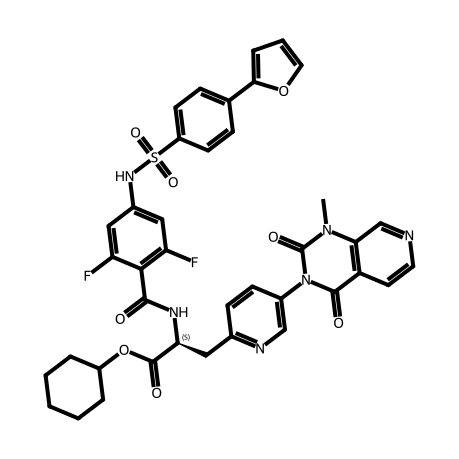 Cn1c(=O)n(-c2ccc(C[C@H](NC(=O)c3c(F)cc(NS(=O)(=O)c4ccc(-c5ccco5)cc4)cc3F)C(=O)OC3CCCCC3)nc2)c(=O)c2ccncc21